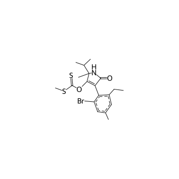 CCc1cc(C)cc(Br)c1C1=C(OC(=S)SC)C(C)(C(C)C)NC1=O